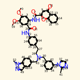 COc1cc(NC(=O)c2cc(=O)c3ccccc3o2)c(C(=O)Nc2ccc(CCN(Cc3cccc(-n4ccnc4C)c3)Cc3ccc4c(cnn4C)c3)cc2)cc1OC